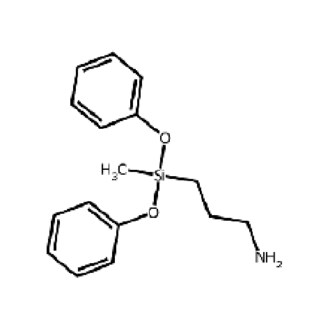 C[Si](CCCN)(Oc1ccccc1)Oc1ccccc1